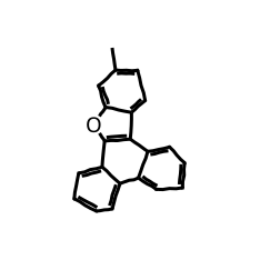 Cc1ccc2c(c1)oc1c3ccccc3c3ccccc3c21